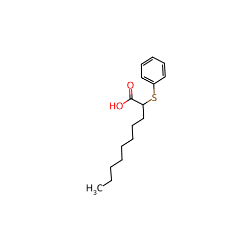 CCCCCCCCC(Sc1ccccc1)C(=O)O